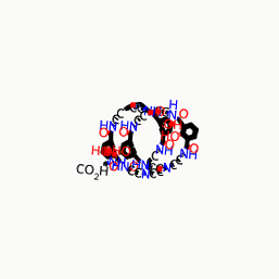 O=C(O)CN[S+]([O-])c1cc2c(O)c(c1)C(=O)NCCN1CCNC(=O)c3cccc(c3O)C(=O)NCCC(/C=C/C3CCNC(=O)c4cccc(c4O)C(=O)NCCN(CCNC(=O)c4cccc(c4O)C(=O)NCC3)CC1)CCNC2=O